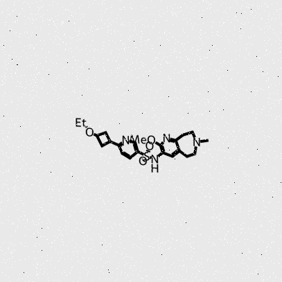 CCOC1CC(c2ccc(S(=O)(=O)Nc3cc4c(nc3OC)CCN(C)CC4)cn2)C1